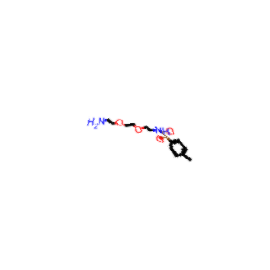 Cc1ccc(S(=O)(=O)NCCOCCOCCN)cc1